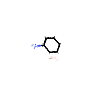 B.NC1CCCCC1